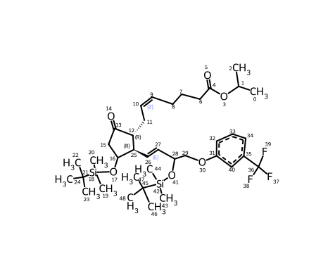 CC(C)OC(=O)CCC/C=C\C[C@H]1C(=O)CC(O[Si](C)(C)C(C)(C)C)[C@@H]1/C=C/C(COc1cccc(C(F)(F)F)c1)O[Si](C)(C)C(C)(C)C